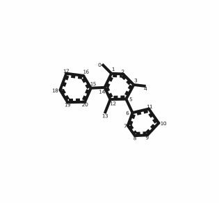 Cc1cc(C)c(-c2ccccc2)c(C)c1-c1ccccc1